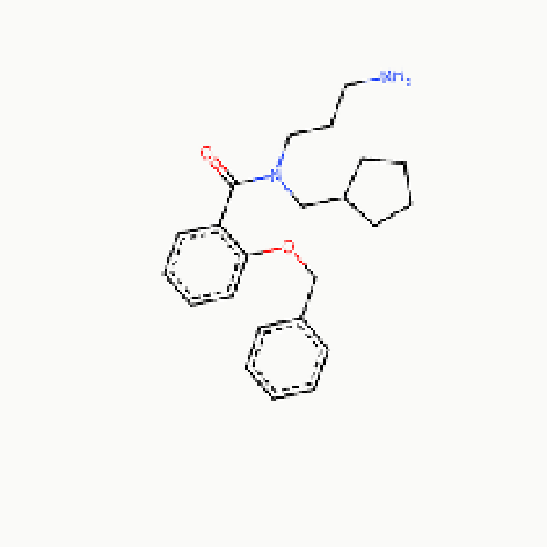 NCCCN(CC1CCCC1)C(=O)c1ccccc1OCc1ccccc1